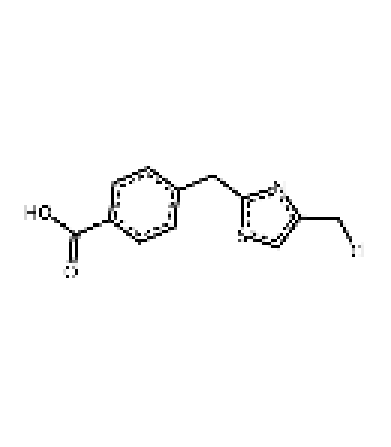 O=C(O)c1ccc(Cc2nc(CCl)cs2)cc1